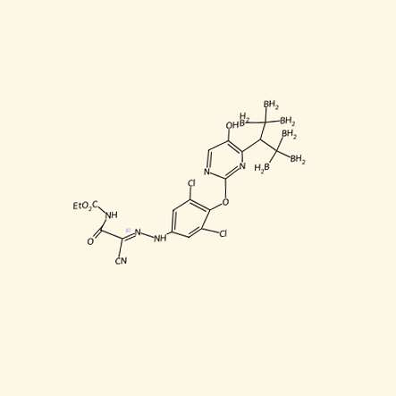 BC(B)(B)C(c1nc(Oc2c(Cl)cc(N/N=C(\C#N)C(=O)NC(=O)OCC)cc2Cl)ncc1O)C(B)(B)B